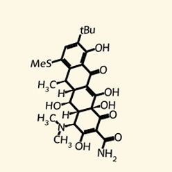 CSc1cc(C(C)(C)C)c(O)c2c1[C@H](C)[C@@H]1C(=C(O)[C@]3(O)C(=O)C(C(N)=O)=C(O)[C@@H](N(C)C)[C@@H]3[C@H]1O)C2=O